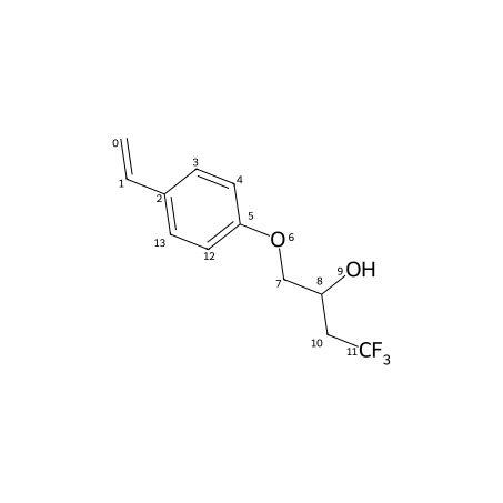 C=Cc1ccc(OCC(O)CC(F)(F)F)cc1